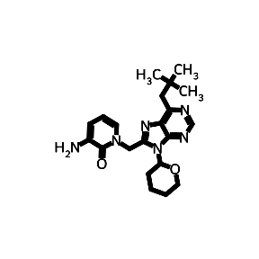 CC(C)(C)Cc1ncnc2c1nc(Cn1cccc(N)c1=O)n2C1CCCCO1